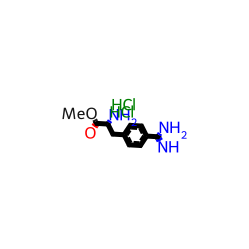 COC(=O)C(N)Cc1ccc(C(=N)N)cc1.Cl.Cl